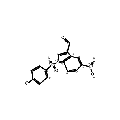 O=Cc1cn(S(=O)(=O)c2ccc(Br)cc2)c2ccc([N+](=O)[O-])cc12